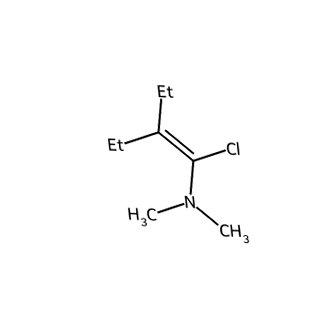 CCC(CC)=C(Cl)N(C)C